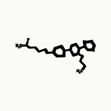 C=CCOc1cc(-c2ccc(C=CCCCC(C)F)cc2)ccc1-c1cnccn1